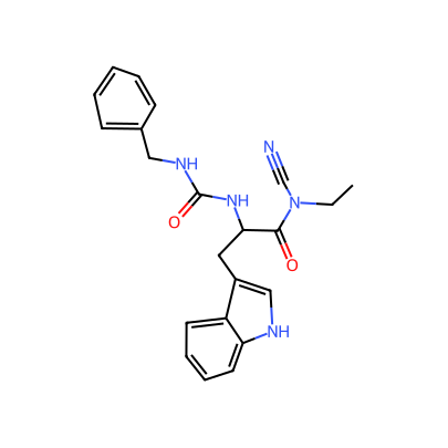 CCN(C#N)C(=O)C(Cc1c[nH]c2ccccc12)NC(=O)NCc1ccccc1